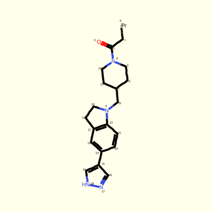 CC(C)CC(=O)N1CCC(CN2CCc3cc(-c4cn[nH]c4)ccc32)CC1